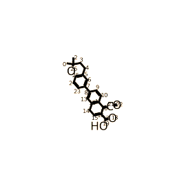 CC1(C)CCc2cc(-c3ccc4c(c3)CC=C(C(=O)O)C4=C=O)ccc2O1